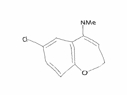 CNC1=CCOc2ccc(Cl)cc21